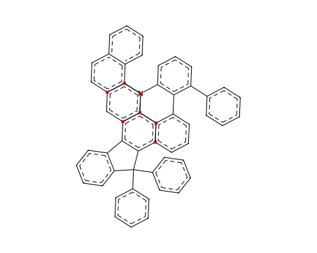 c1ccc(-c2ccccc2-c2c(-c3ccccc3)cccc2N(c2ccc3c(c2)-c2ccccc2C3(c2ccccc2)c2ccccc2)c2cccc3ccccc23)cc1